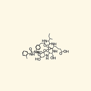 CCC(C)[C@H](NC(=O)Cc1ccc(NC(=O)Nc2ccccc2C)cc1)C(=O)N[C@@H](CCCC(=O)O)C(=O)N[C@@H](CO)C(=O)N[C@@H](CC(=O)O)C(=O)O